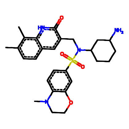 Cc1ccc2cc(CN(C3CCCC(N)C3)S(=O)(=O)c3ccc4c(c3)OCCN4C)c(=O)[nH]c2c1C